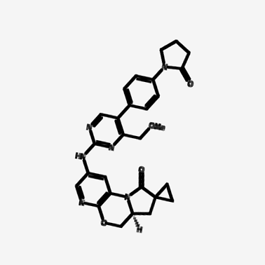 COCc1nc(Nc2cnc3c(c2)N2C(=O)C4(CC4)C[C@H]2CO3)ncc1-c1ccc(N2CCCC2=O)cc1